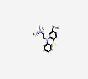 CCCCCc1ccc2c(c1)N(CCN(C)C)c1ccccc1S2